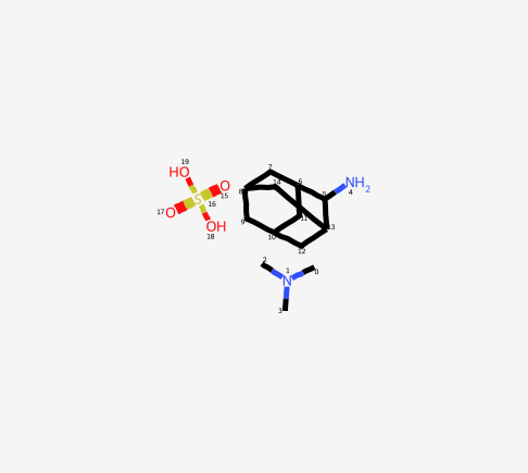 CN(C)C.NC1C2CC3CC(C2)CC1C3.O=S(=O)(O)O